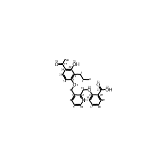 CCCc1c(OCc2cccnc2COc2ccccc2C(=O)O)ccc(C(C)=O)c1O